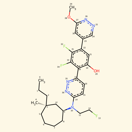 CCC[C@]1(C)CCCC[C@H](N(CCF)c2ccc(-c3c(O)cc(-c4cnnc(OC)c4)c(F)c3F)nn2)C1